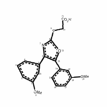 COc1cccc(-c2nc(SCC(=O)O)oc2-c2cccc(OC)c2)c1